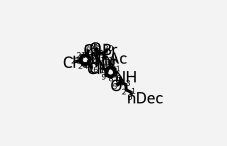 CCCCCCCCCCCCCC(=O)Nc1ccc(Cl)c(N(C(C)=O)C2=NN(c3c(Cl)cc(Cl)cc3Cl)C(=O)C2Br)c1